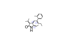 C/C=C1/NC(=O)C(=C(C)C)/C1=C/C(=C/CC)c1ccccc1C